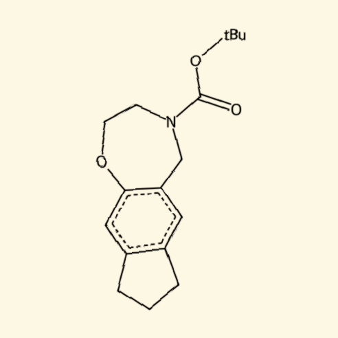 CC(C)(C)OC(=O)N1CCOc2cc3c(cc2C1)CCC3